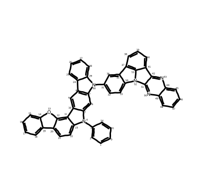 c1ccc(-n2c3cc4c(cc3c3c5oc6ccccc6c5ccc32)c2ccccc2n4-c2ccc3c(c2)c2cccc4c5nc6ccccc6nc5n3c24)cc1